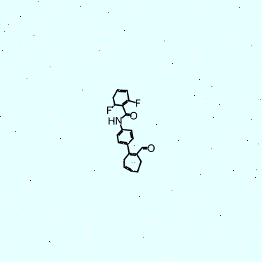 O=CC1=C(c2ccc(NC(=O)C3=C(F)C=CCC3F)cc2)CC=CCC1